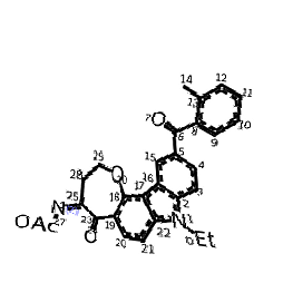 CCn1c2ccc(C(=O)c3ccccc3C)cc2c2c3c(ccc21)C(=O)/C(=N\OC(C)=O)CCO3